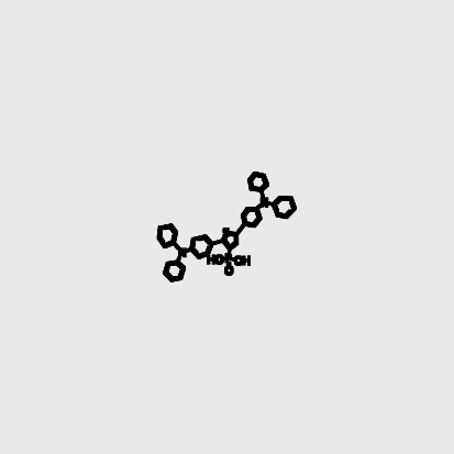 O=P(O)(O)c1cc(-c2ccc(N(c3ccccc3)c3ccccc3)cc2)sc1-c1ccc(N(c2ccccc2)c2ccccc2)cc1